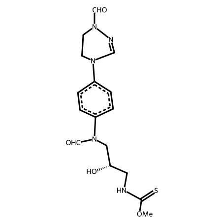 COC(=S)NC[C@H](O)CN(C=O)c1ccc(N2C=NN(C=O)CC2)cc1